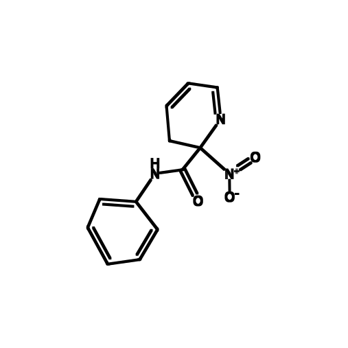 O=C(Nc1ccccc1)C1([N+](=O)[O-])CC=CC=N1